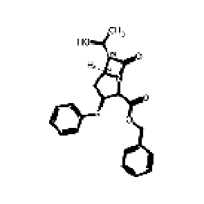 CC(O)[C@H]1C(=O)N2C(C(=O)OCc3ccccc3)C(Sc3ccccc3)C[C@@H]12